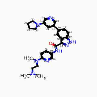 CN(C)CCN(C)c1ccc(NC(=O)c2n[nH]c3ccc(-c4cncc(N5CCCC5)c4)cc23)cn1